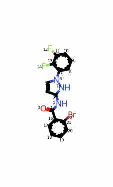 O=C(NC1C=CN(c2cccc(F)c2F)N1)c1ccccc1Br